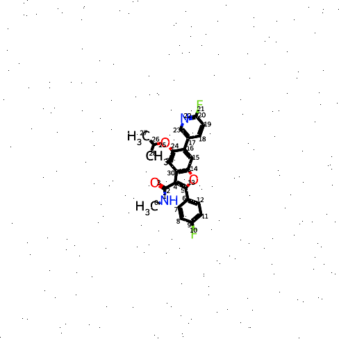 CNC(=O)c1c(-c2ccc(F)cc2)oc2cc(-c3ccc(F)nc3)c(OC(C)C)cc12